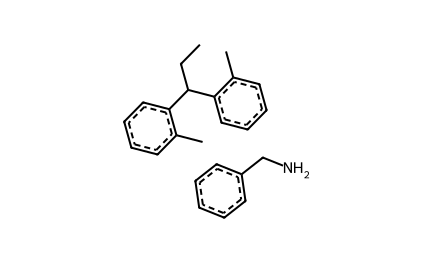 CCC(c1ccccc1C)c1ccccc1C.NCc1ccccc1